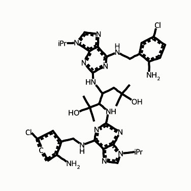 CC(C)n1cnc2c(NCc3cc(Cl)ccc3N)nc(NC(CC(C)(C)O)C(Nc3nc(NCc4cc(Cl)ccc4N)c4ncn(C(C)C)c4n3)C(C)(C)O)nc21